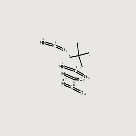 CC(C)(C)C.N=C=O.N=C=O.N=C=O.N=C=O